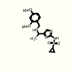 COc1ccc(CNC(C)c2csc(NS(=O)(=O)C3CC3)n2)c(OC)c1